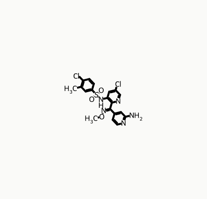 CO/N=C(\c1ccnc(N)c1)c1ncc(Cl)cc1NS(=O)(=O)c1ccc(Cl)c(C)c1